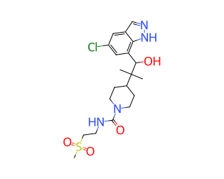 CC(C)(C1CCN(C(=O)NCCS(C)(=O)=O)CC1)C(O)c1cc(Cl)cc2cn[nH]c12